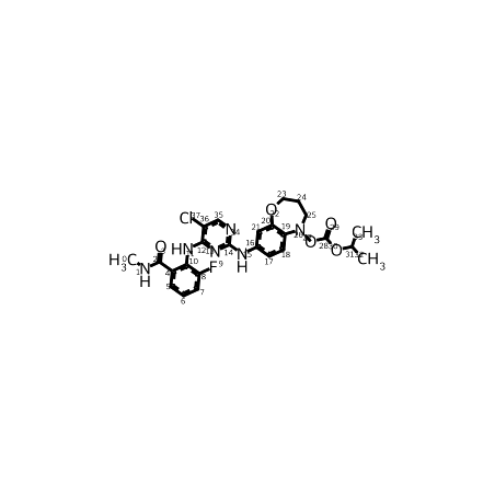 CNC(=O)c1cccc(F)c1Nc1nc(Nc2ccc3c(c2)OCCCN3OC(=O)OC(C)C)ncc1Cl